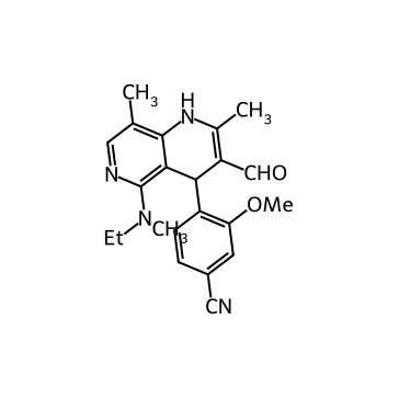 CCN(C)c1ncc(C)c2c1C(c1ccc(C#N)cc1OC)C(C=O)=C(C)N2